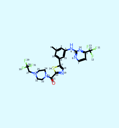 Cc1cc(Nc2nccc(C(F)(F)F)n2)cc(-c2cnc(C(=O)N3CCN(CC(F)(F)F)CC3)s2)c1